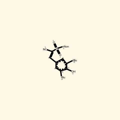 CCCCCCCCCS(=O)(=O)C(C#N)=Cc1cc(C(C)(C)C)c(O)c(C(C)(C)C)c1